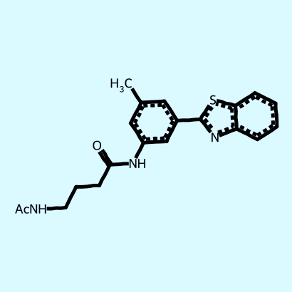 CC(=O)NCCCC(=O)Nc1cc(C)cc(-c2nc3ccccc3s2)c1